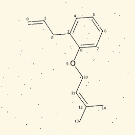 C=CCc1ccccc1OCC=C(C)C